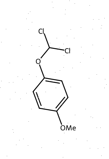 COc1ccc(OC(Cl)Cl)cc1